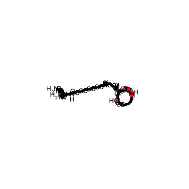 CO[C@@H]1C[C@H](C[C@@H](C)[C@@H]2CC(=O)[C@H](C)/C=C(\C)[C@@H](O)[C@@H](OC)C(=O)[C@H](C)C[C@H](C)/C=C/C=C/C=C(\C)CC[C@@H]3CC[C@@H](C)[C@@](O)(O3)C(=O)C(=O)N3CCCC[C@H]3C(=O)O2)CC[C@H]1OCCOCc1cn(CCOCCOCCOCCOCCOCCOCCOCCC(=O)NCCCCn2nc(-c3ccc4oc(N)nc4c3)c3c(N)ncnc32)nn1